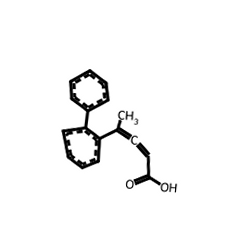 CC(=C=CC(=O)O)c1ccccc1-c1ccccc1